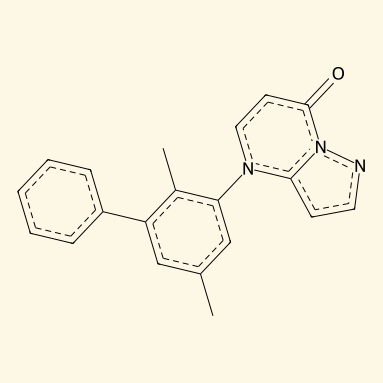 Cc1cc(-c2ccccc2)c(C)c(-n2ccc(=O)n3nccc23)c1